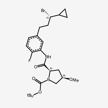 CO[C@@H]1C[C@H](C(=O)Nc2cc(CC[C@H](Br)C3CC3)ccc2F)N(C(=O)OC(C)(C)C)C1